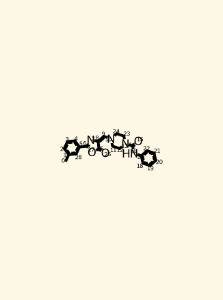 Cc1cccc(C2=NC(=CN3CCN(C(=O)Nc4ccccc4)CC3)C(=O)O2)c1